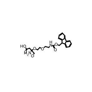 NC(C[O])(CC(=O)O)OCCOCCNC(=O)OCC1c2ccccc2-c2ccccc21